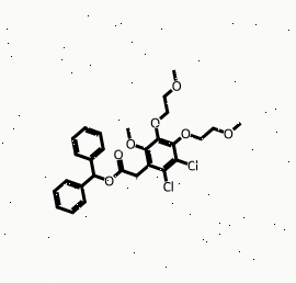 COCCOc1c(Cl)c(Cl)c([CH]C(=O)OC(c2ccccc2)c2ccccc2)c(OC)c1OCCOC